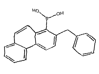 OB(O)c1c(Cc2ccccc2)ccc2c1ccc1ccccc12